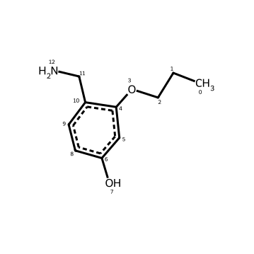 CCCOc1cc(O)ccc1CN